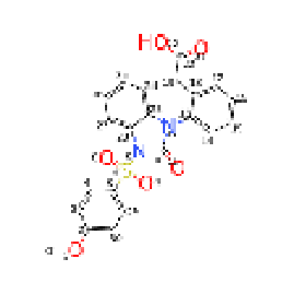 COc1ccc(S(=O)(=O)n2c(=O)n(-c3ccccc3CC(=O)O)c3ccccc32)cc1